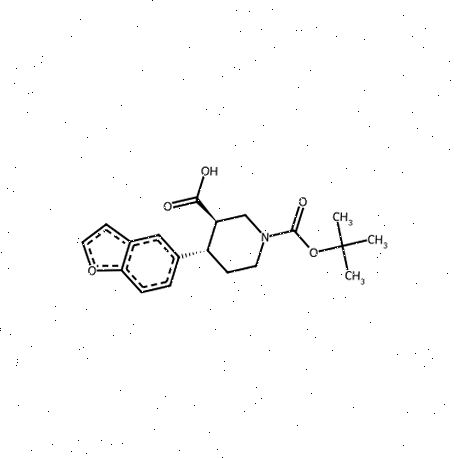 CC(C)(C)OC(=O)N1CC[C@H](c2ccc3occc3c2)[C@@H](C(=O)O)C1